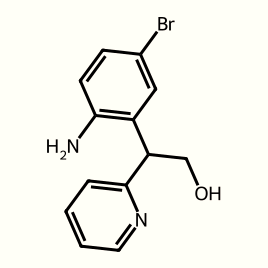 Nc1ccc(Br)cc1C(CO)c1ccccn1